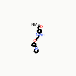 CNC(=O)Cc1ccc2[nH]c(CCCOc3cccc(CN4CCCCC4)c3)nc2c1